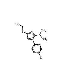 CC(N)c1nc(SCC(F)(F)F)nn1-c1ccc(Cl)cn1